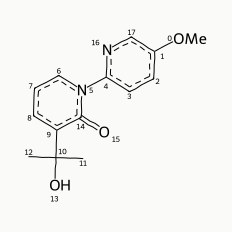 COc1ccc(-n2cccc(C(C)(C)O)c2=O)nc1